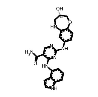 NC(=O)c1cnc(Nc2ccc3c(c2)NC[C@H](O)CO3)nc1Nc1cccc2[nH]ccc12